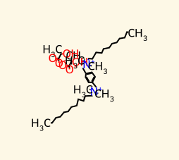 CC(O)C(=O)[O-].CC(O)C(=O)[O-].CCCCCCCCCCCC[N+](C)(C)Cc1ccc(C[N+](C)(C)CCCCCCCCCCCC)cc1